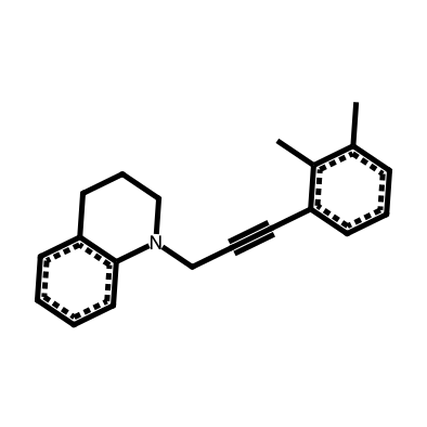 Cc1cccc(C#CCN2CCCc3ccccc32)c1C